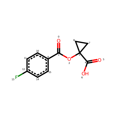 O=C(OC1(C(=O)O)CC1)c1ccc(F)cc1